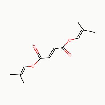 CC(C)=COC(=O)C=CC(=O)OC=C(C)C